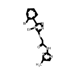 CCn1c(SCC(=O)Nc2ncc(C)s2)nnc1-c1ccccc1Br